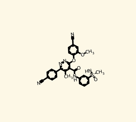 COc1cc(C#N)ccc1Oc1nnc(-c2ccc(C#N)cc2)c(C)c1C(=O)Nc1cccc([S@@](C)(=N)=O)c1